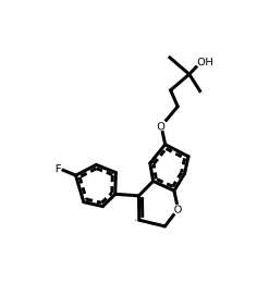 CC(C)(O)CCOc1ccc2c(c1)C(c1ccc(F)cc1)=[C]CO2